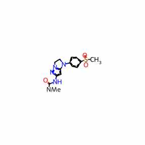 CNC(=O)Nc1cc2n(n1)CCN2c1ccc(S(C)(=O)=O)cc1